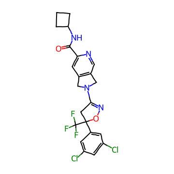 O=C(NC1CCC1)c1cc2c(cn1)CN(C1=NOC(c3cc(Cl)cc(Cl)c3)(C(F)(F)F)C1)C2